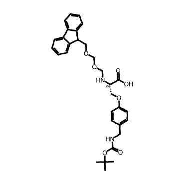 CC(C)(C)OC(=O)NCc1ccc(OC[C@H](NCOCOCC2c3ccccc3-c3ccccc32)C(=O)O)cc1